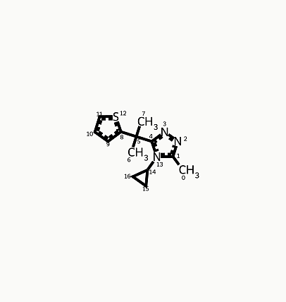 Cc1nnc(C(C)(C)c2cccs2)n1C1CC1